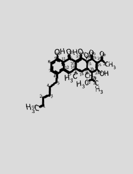 CCCCCCc1ccc(O)c2c1C[C@]1(C)C[C@]3(C)C(C(C)C)C(O)=C(C(C)=O)C(=O)[C@]3(O)C(O)=C1C2=O